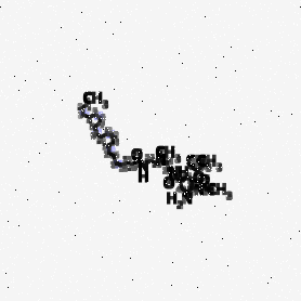 CC/C=C\C/C=C\C/C=C\C/C=C\C/C=C\C/C=C\CCC(=O)NCCN(C)CCNC(=O)C1=C[C@@H](OC(CC)CC)[C@H](NC(C)=O)[C@@H](N)C1